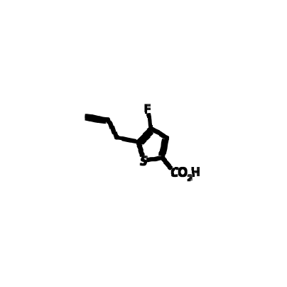 C=CCc1sc(C(=O)O)cc1F